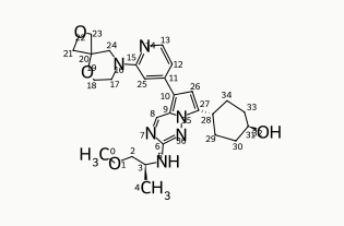 COC[C@H](C)Nc1ncc2c(-c3ccnc(N4CCOC5(COC5)C4)c3)cc([C@H]3CC[C@H](O)CC3)n2n1